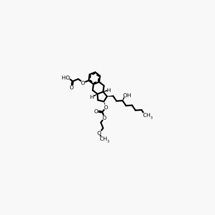 CCCCC[C@H](O)CC[C@@H]1[C@H]2Cc3cccc(OCC(=O)O)c3C[C@H]2C[C@H]1OC(=O)OCCOC